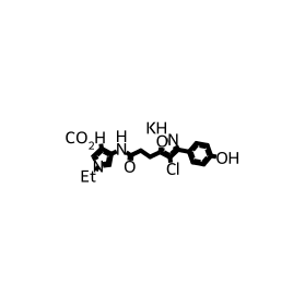 CCn1cc(NC(=O)CCc2onc(-c3ccc(O)cc3)c2Cl)c(C(=O)O)c1.[KH]